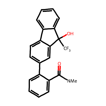 CNC(=O)c1ccccc1-c1ccc2c(c1)C(O)(C(F)(F)F)c1ccccc1-2